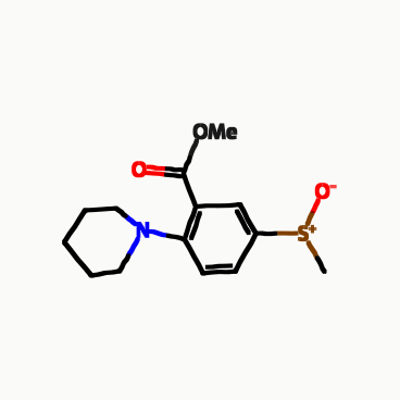 COC(=O)c1cc([S+](C)[O-])ccc1N1CCCCC1